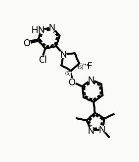 Cc1nn(C)c(C)c1-c1ccnc(O[C@H]2CN(c3cn[nH]c(=O)c3Cl)C[C@@H]2F)c1